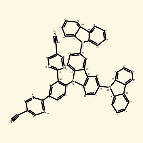 N#Cc1cnc(-c2ccc(-n3c4ccc(-n5c6ccccc6c6ccccc65)cc4c4cc(-n5c6ccccc6c6ccccc65)ccc43)c(-c3ncc(C#N)cn3)c2)nc1